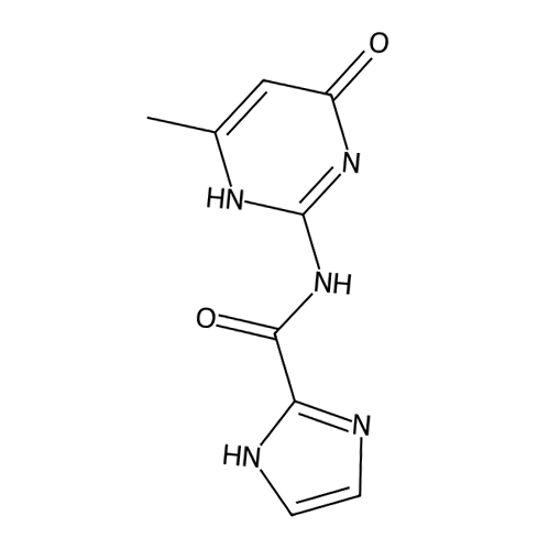 Cc1cc(=O)nc(NC(=O)c2ncc[nH]2)[nH]1